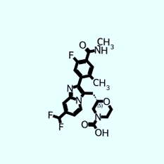 CNC(=O)c1cc(C)c(-c2nc3cc(C(F)F)ccn3c2C[C@H]2CN(C(=O)O)CCO2)cc1F